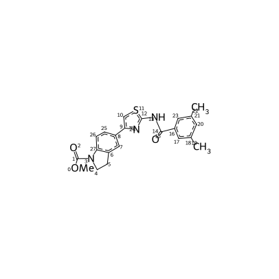 COC(=O)N1CCc2cc(-c3csc(NC(=O)c4cc(C)cc(C)c4)n3)ccc21